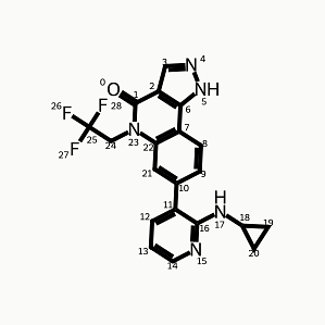 O=c1c2cn[nH]c2c2ccc(-c3cccnc3NC3CC3)cc2n1CC(F)(F)F